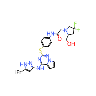 CC(C)c1cc(Nc2nc(Sc3ccc(NC(=O)CN4CC(F)(F)CC4CO)cc3)nn3cccc23)n[nH]1